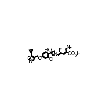 C\N=C/C(=C\C(F)=C\N1CC(O)(c2ccc(OCc3cnoc3C3CC3)cc2Cl)C1)C(=O)O